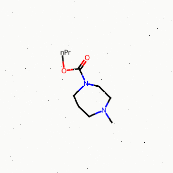 CCCOC(=O)N1CCCN(C)CC1